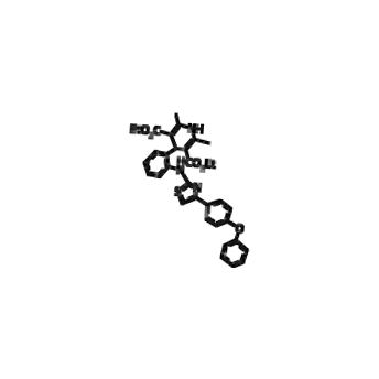 CCOC(=O)C1=C(C)NC(C)=C(C(=O)OCC)C1c1ccccc1Nc1nc(-c2ccc(Oc3ccccc3)cc2)cs1